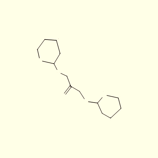 O=C(COC1CCCCO1)COC1CCCCO1